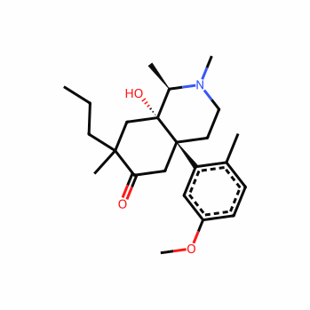 CCCC1(C)C[C@@]2(O)[C@@H](C)N(C)CC[C@]2(c2cc(OC)ccc2C)CC1=O